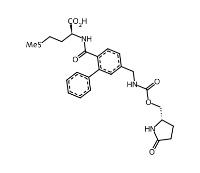 CSCC[C@H](NC(=O)c1ccc(CNC(=O)OC[C@@H]2CCC(=O)N2)cc1-c1ccccc1)C(=O)O